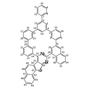 c1ccc(-c2cc(-c3ccccc3)cc(-c3cccc(-c4cccc(-c5nc(-c6cccc7ccccc67)nc6sc7c8ccccc8ccc7c56)c4)c3)c2)cc1